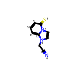 N#CCn1ccn2c(=S)cccc12